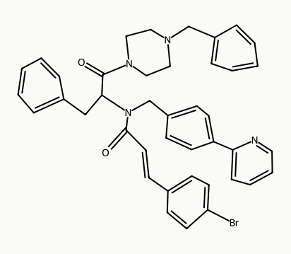 O=C(C(Cc1ccccc1)N(Cc1ccc(-c2ccccn2)cc1)C(=O)C=Cc1ccc(Br)cc1)N1CCN(Cc2ccccc2)CC1